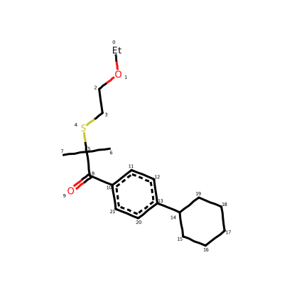 CCOCCSC(C)(C)C(=O)c1ccc(C2CCCCC2)cc1